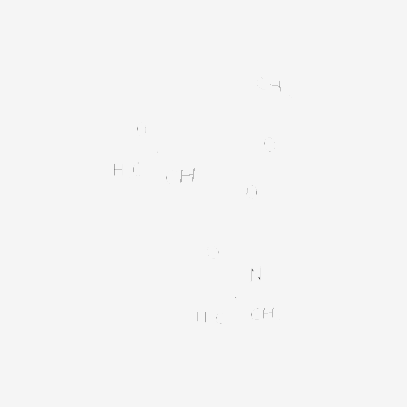 Cc1cc2c(cc1Oc1ccc(C3=NC(C)(C)CO3)o1)C(C)(C)OC2